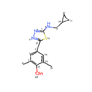 Cc1cc(-c2nnc(NCC3CC3)s2)cc(C)c1O